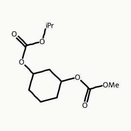 COC(=O)OC1CCCC(OC(=O)OC(C)C)C1